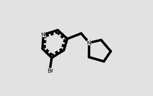 Brc1cncc(CN2CCCC2)c1